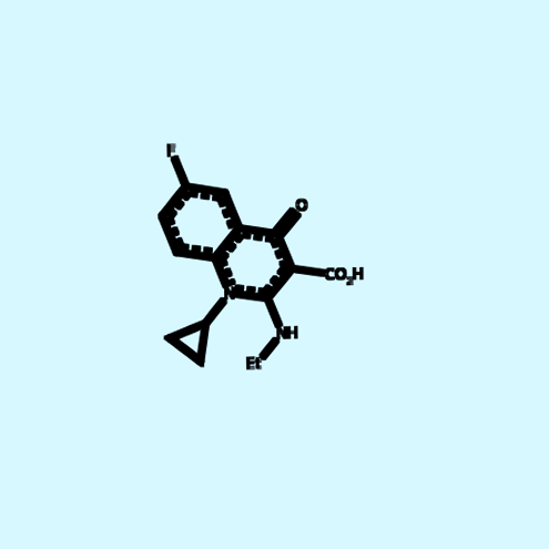 CCNc1c(C(=O)O)c(=O)c2cc(F)ccc2n1C1CC1